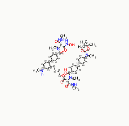 CNC(=O)C(C(=O)NO)N(C)C(=O)c1ccc(-c2ccc(NC)cc2CCCCOC(=O)C(C(=O)NC)N(C)C(O)c2ccc(-c3ccc(N(C)C(=O)OC(C)(C)C)cc3)cc2)cc1